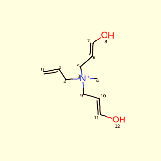 C=CC[N+](C)(CC=CO)CC=CO